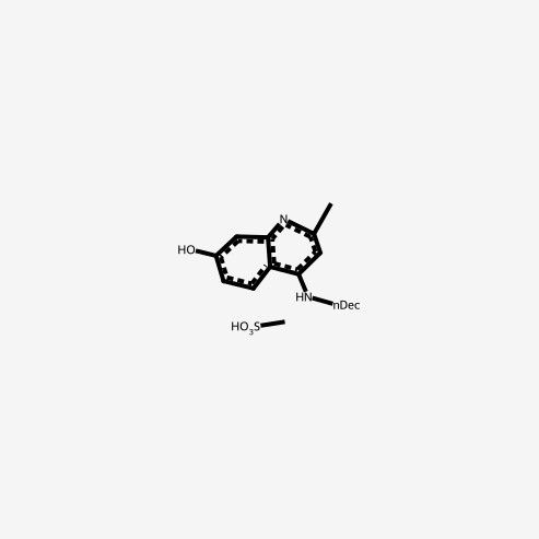 CCCCCCCCCCNc1cc(C)nc2cc(O)ccc12.CS(=O)(=O)O